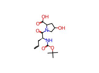 C=CC[C@H](NC(=O)OC(C)(C)C)C(=O)N1CC(O)CC1C(=O)O